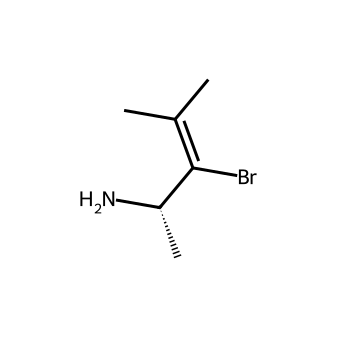 CC(C)=C(Br)[C@H](C)N